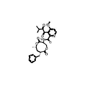 COc1ccnc(C(=O)N[C@H]2COC(=O)[C@H](Cc3ccccc3)C[C@H](C)OC2=O)c1C(=O)C(=O)C(C)C